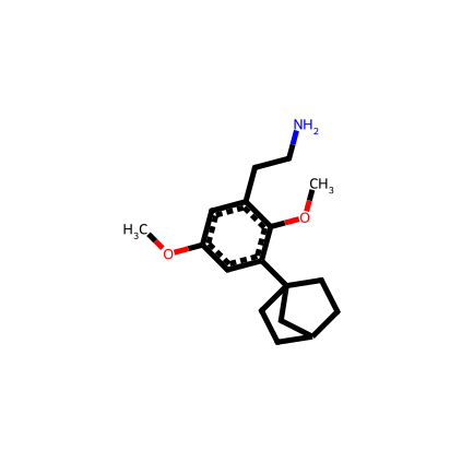 COc1cc(CCN)c(OC)c(C23CCC(CC2)C3)c1